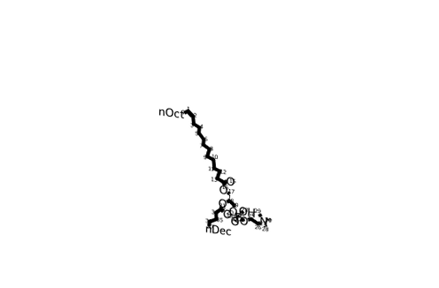 CCCCCCCC/C=C\CCCCCCCCCCCC(=O)OC[C@H](COP(=O)(O)OCC[N+](C)(C)C)OC(=O)CCCCCCCCCCCCC